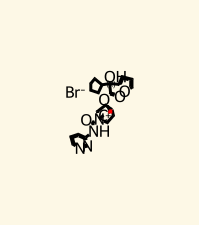 O=C(OC1C[N+]2(C(=O)Nc3cccnn3)CCC1CC2)[C@](O)(c1ccco1)C1CCCC1.[Br-]